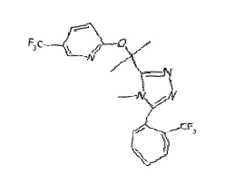 Cn1c(-c2ccccc2C(F)(F)F)nnc1C(C)(C)Oc1ccc(C(F)(F)F)cn1